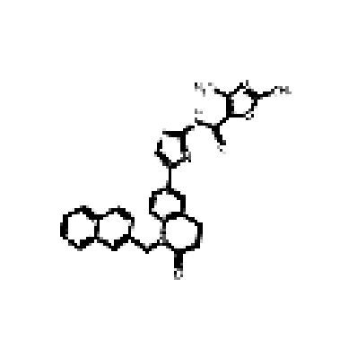 Cc1nc(C)c(C(=O)Nc2nc(-c3ccc4c(c3)CCC(=O)N4Cc3ccc4ccccc4c3)cs2)o1